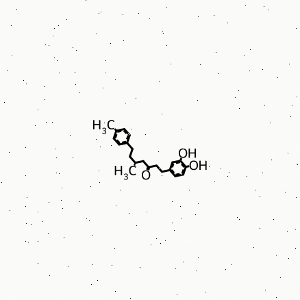 Cc1ccc(CC[C@H](C)CC(=O)CCc2ccc(O)c(O)c2)cc1